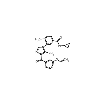 C=COc1cccc(C(=O)c2ncn(-c3cc(C(=O)NC4CC4)ccc3C)c2N)c1